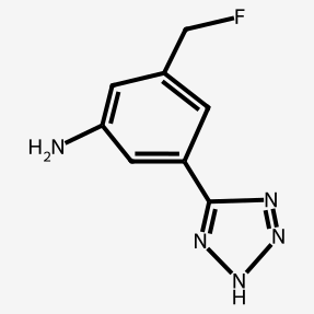 Nc1cc(CF)cc(-c2nn[nH]n2)c1